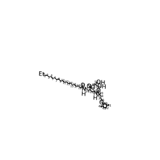 CCC=CCC=CCC=CCC=CCC=CCC=CCCC(=O)NCCC(CCNC(=O)C(C)(C)CCCOc1cc(C)ccc1C)C(=O)OCC(CO)CO